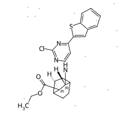 CCOC(=O)[C@@H]1C2CCC(CC2)[C@H]1Nc1cc(-c2cc3ccccc3s2)nc(Cl)n1